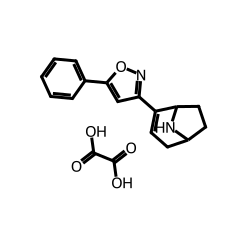 C1=C(c2cc(-c3ccccc3)on2)C2CCC(C1)N2.O=C(O)C(=O)O